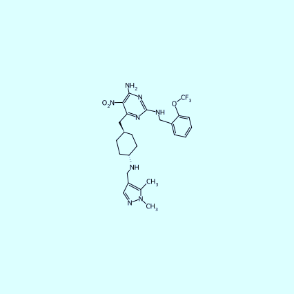 Cc1c(CN[C@H]2CC[C@H](Cc3nc(NCc4ccccc4OC(F)(F)F)nc(N)c3[N+](=O)[O-])CC2)cnn1C